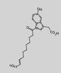 CCCCCCCCC=CCCCCCCCC(=O)n1cc(CC(=O)O)c2cc(O)ccc21